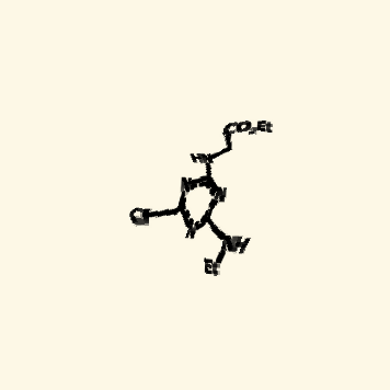 CCNc1nc(Cl)nc(NCC(=O)OCC)n1